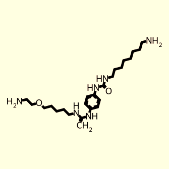 C=C(NCCCCCOCCN)Nc1ccc(NC(=O)NCCCCCCCCN)cc1